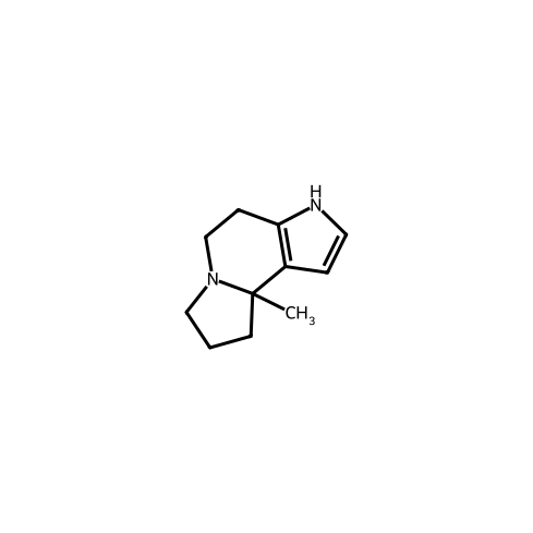 CC12CCCN1CCc1[nH]ccc12